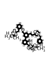 CC(NC(=O)OC(C)(C)C)c1cccc(-c2cc(C=CC3CN(Cc4ccccc4)CCO3)cc(COc3ccccc3CC(=O)OC(C)(C)C)c2)c1F